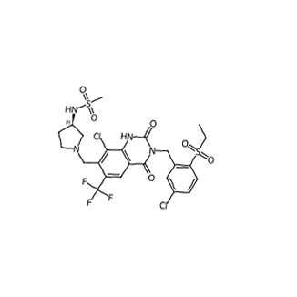 CCS(=O)(=O)c1ccc(Cl)cc1Cn1c(=O)[nH]c2c(Cl)c(CN3CC[C@@H](NS(C)(=O)=O)C3)c(C(F)(F)F)cc2c1=O